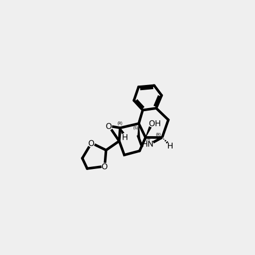 O[C@@]12CCC3(C4OCCO4)O[C@@H]3[C@@]13CCN[C@@H]2Cc1ccccc13